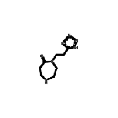 O=C1CCNCCN1CCc1nnn[nH]1